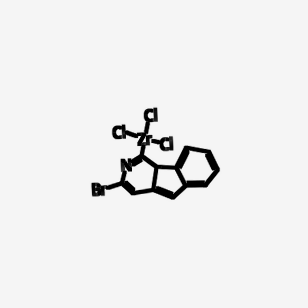 [Cl][Zr]([Cl])([Cl])[C]1=NC(Br)=CC2=Cc3ccccc3C21